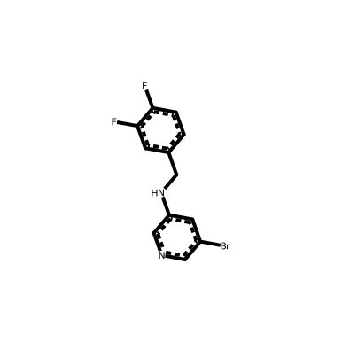 Fc1ccc(CNc2cncc(Br)c2)cc1F